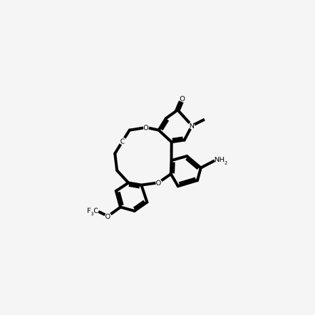 Cn1cc2c(cc1=O)OCCCCc1cc(OC(F)(F)F)ccc1Oc1ccc(N)cc1-2